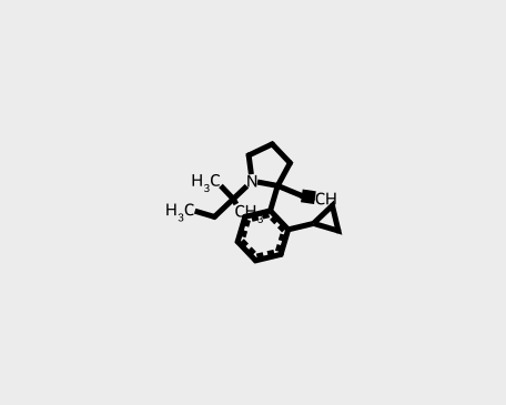 C#CC1(c2ccccc2C2CC2)CCCN1C(C)(C)CC